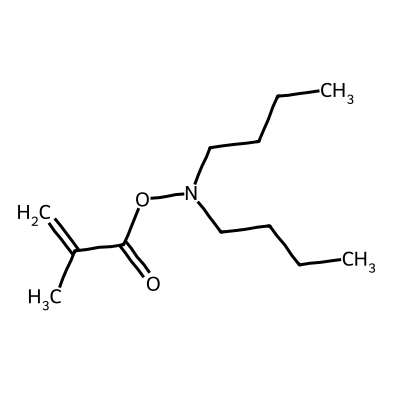 C=C(C)C(=O)ON(CCCC)CCCC